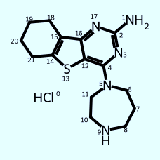 Cl.Nc1nc(N2CCCNCC2)c2sc3c(c2n1)CCCC3